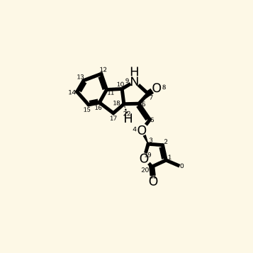 CC1=C[C@H](O/C=C2/C(=O)NC3c4ccccc4C[C@H]23)OC1=O